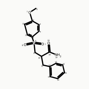 COc1ccc(S(=O)(=O)CC(Cc2ccccc2)C(N)=O)cc1